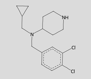 Clc1ccc(CN(CC2CC2)C2CCNCC2)cc1Cl